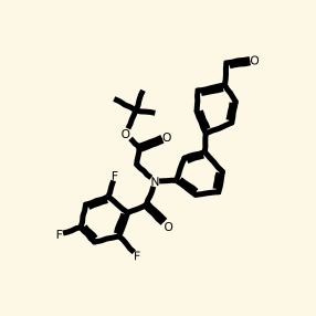 CC(C)(C)OC(=O)CN(C(=O)c1c(F)cc(F)cc1F)c1cccc(-c2ccc(C=O)cc2)c1